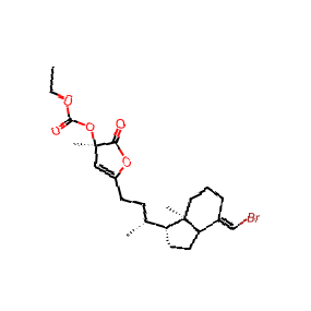 CCOC(=O)O[C@]1(C)C=C(CC[C@@H](C)[C@H]2CCC3C(=CBr)CCC[C@@]32C)OC1=O